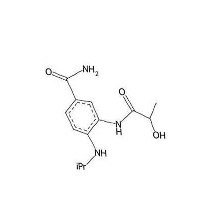 CC(C)Nc1ccc(C(N)=O)cc1NC(=O)C(C)O